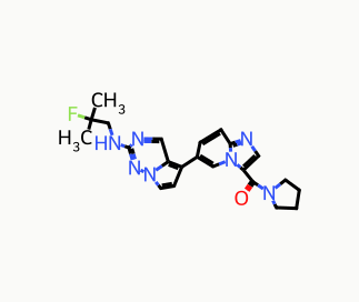 CC(C)(F)CNc1ncc2c(-c3ccc4ncc(C(=O)N5CCCC5)n4c3)ccn2n1